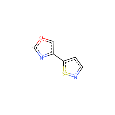 [c]1nc(-c2ccns2)co1